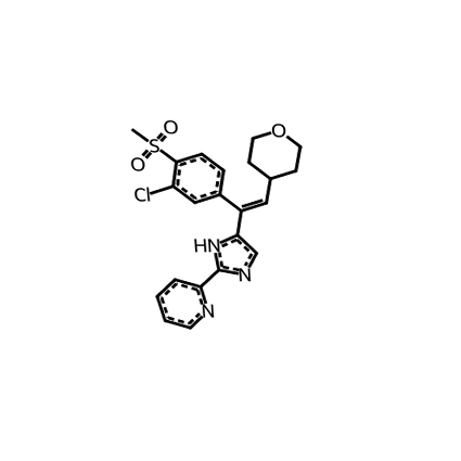 CS(=O)(=O)c1ccc(/C(=C\C2CCOCC2)c2cnc(-c3ccccn3)[nH]2)cc1Cl